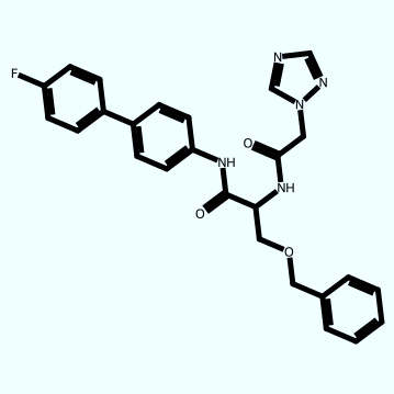 O=C(Cn1cncn1)NC(COCc1ccccc1)C(=O)Nc1ccc(-c2ccc(F)cc2)cc1